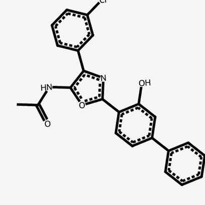 CC(=O)Nc1oc(-c2ccc(-c3ccccc3)cc2O)nc1-c1cccc(Cl)c1